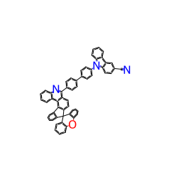 N#Cc1ccc2c(c1)c1ccccc1n2-c1ccc(-c2ccc(-c3nc4ccccc4c4c5c(ccc34)C3(c4ccccc4Oc4ccccc43)c3ccccc3-5)cc2)cc1